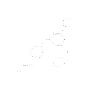 CCC(=O)Nc1ccc(Sc2nc(NC3=NNC(C)C3)cc(N3CCC3)n2)cc1